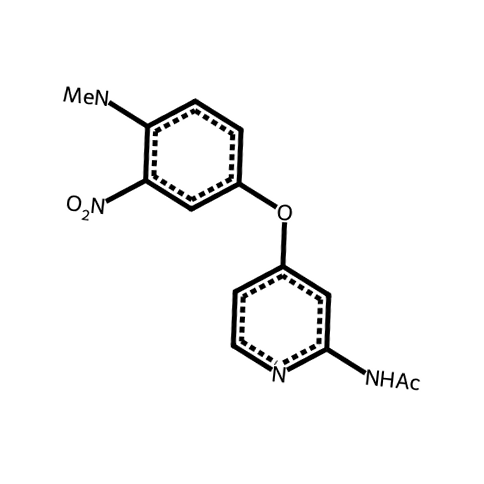 CNc1ccc(Oc2ccnc(NC(C)=O)c2)cc1[N+](=O)[O-]